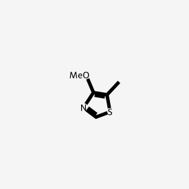 COc1ncsc1C